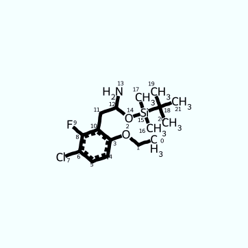 CCOc1[c]cc(Cl)c(F)c1CC(N)O[Si](C)(C)C(C)(C)C